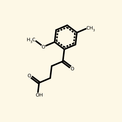 COc1ccc(C)cc1C(=O)CCC(=O)O